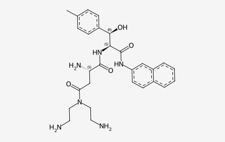 Cc1ccc([C@@H](O)[C@H](NC(=O)[C@@H](N)CC(=O)N(CCN)CCN)C(=O)Nc2ccc3ccccc3c2)cc1